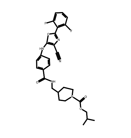 CC(C)COC(=O)N1CCC(CNC(=O)c2ccc(Nc3oc(-c4c(F)cccc4F)nc3C#N)cc2)CC1